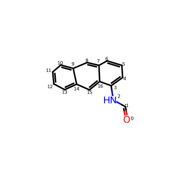 O=[C]Nc1cccc2cc3ccccc3cc12